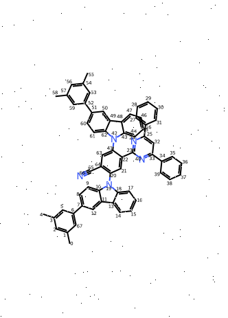 Cc1cc(C)cc(-c2ccc3c(c2)c2ccccc2n3-c2cc(-c3nc(-c4ccccc4)cc(-c4ccccc4)n3)c(-n3c4ccccc4c4cc(-c5cc(C)cc(C)c5)ccc43)cc2C#N)c1